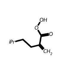 C=C(CCC(C)C)C(=O)OO